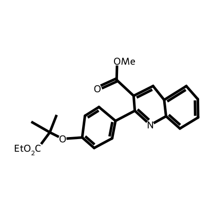 CCOC(=O)C(C)(C)Oc1ccc(-c2nc3ccccc3cc2C(=O)OC)cc1